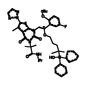 CCCCOc1ccc(F)cc1[C@H](Cn1c(=O)n(C(C)(C)C(=O)NC(C)C)c(=O)c2c(C)c(-n3nccn3)sc21)OCCCC(C)(C)[Si](O)(c1ccccc1)c1ccccc1